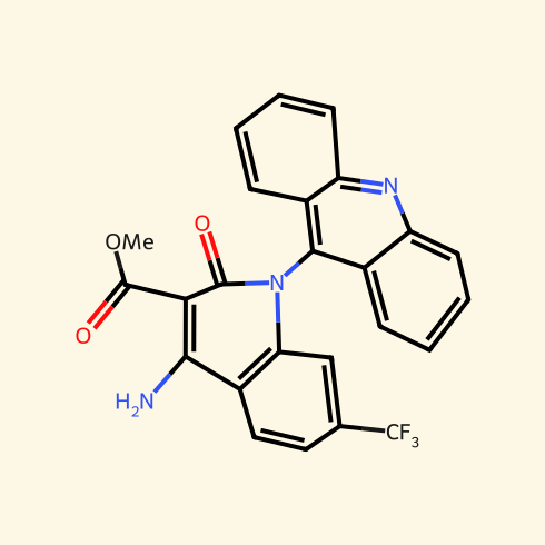 COC(=O)c1c(N)c2ccc(C(F)(F)F)cc2n(-c2c3ccccc3nc3ccccc23)c1=O